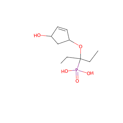 CCC(CC)(OC1C=CC(O)C1)P(=O)(O)O